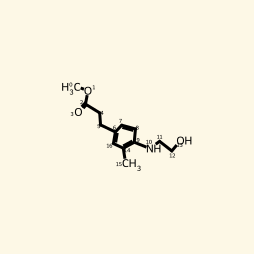 COC(=O)CCc1ccc(NCCO)c(C)c1